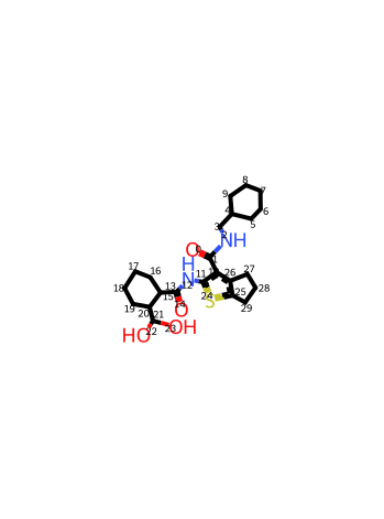 O=C(NCC1CCCCC1)c1c(NC(=O)C2CCCCC2C(O)O)sc2c1CCC2